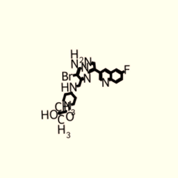 CC(C)(O)C(=O)N1CCC(NCc2nc3c(-c4cnc5ccc(F)cc5c4)cnn3c(N)c2Br)CC1